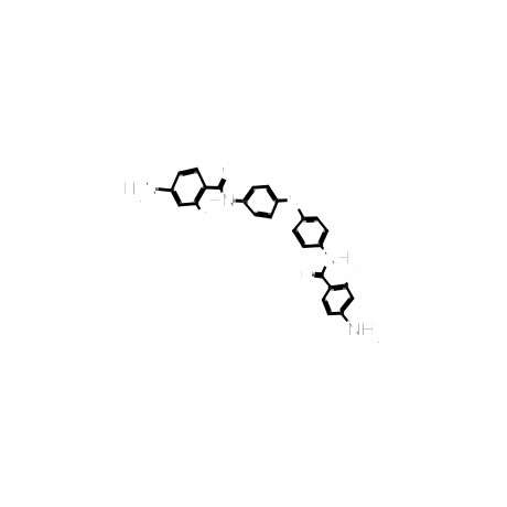 Nc1ccc(C(=O)Nc2ccc(Sc3ccc(NC(=O)c4ccc(N)cc4Cl)cc3)cc2)c(Cl)c1